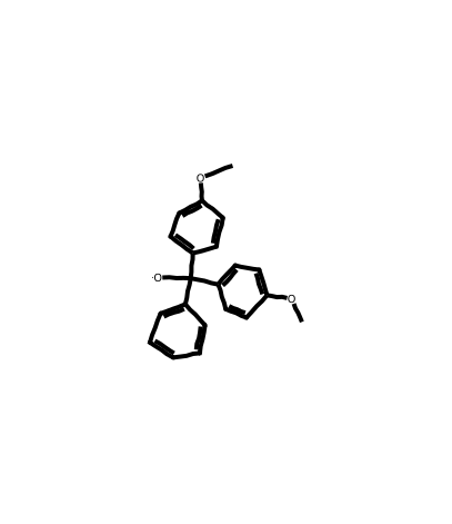 COc1ccc(C([O])(c2ccccc2)c2ccc(OC)cc2)cc1